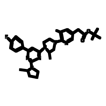 Cc1cc(CC(=O)OC(C)(C)C)cnc1N1CCN(c2cc(-c3ccc(F)cc3)nc(N3CCCC3C)n2)C(C)C1